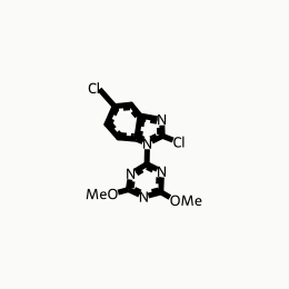 COc1nc(OC)nc(-n2c(Cl)nc3cc(Cl)ccc32)n1